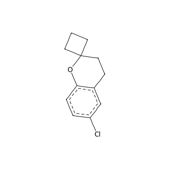 Clc1ccc2c(c1)CCC1(CCC1)O2